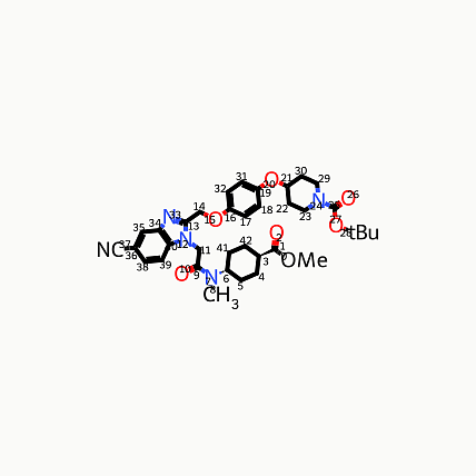 COC(=O)[C@H]1CC[C@H](N(C)C(=O)Cn2c(COc3ccc(OC4CCN(C(=O)OC(C)(C)C)CC4)cc3)nc3cc(C#N)ccc32)CC1